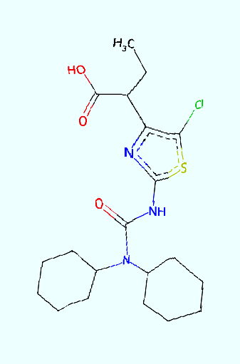 CCC(C(=O)O)c1nc(NC(=O)N(C2CCCCC2)C2CCCCC2)sc1Cl